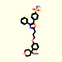 COC1(c2cccc(OCCCc3nc(-c4ccccc4)c(-c4ccc(S(N)(=O)=O)cc4)o3)c2)CCOCC1